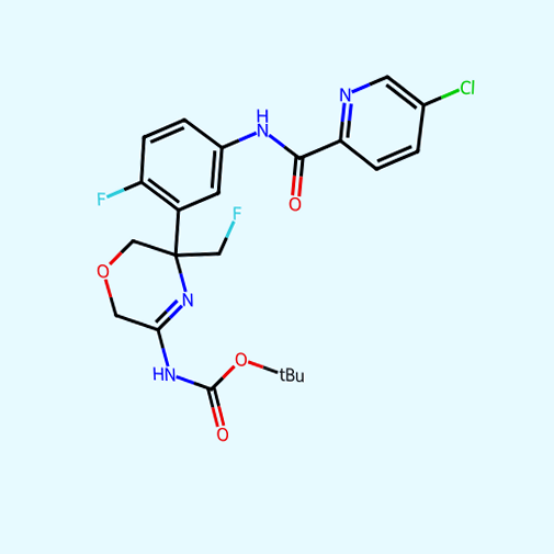 CC(C)(C)OC(=O)NC1=NC(CF)(c2cc(NC(=O)c3ccc(Cl)cn3)ccc2F)COC1